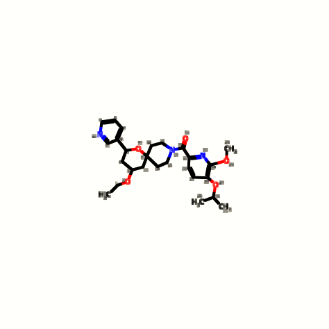 CCOC1CC(c2cccnc2)OC2(CCN(C(=O)c3ccc(OC(C)C)c(OC)n3)CC2)C1